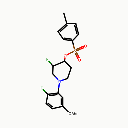 COc1ccc(F)c(N2CCC(OS(=O)(=O)c3ccc(C)cc3)C(F)C2)c1